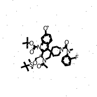 COc1ccc2c3c(n(C(=O)OC(C)(C)C)c2c1)[C@H](CO[Si](C)(C)C(C)(C)C)N(C(C)=O)CC31CCN(C(=O)N(C)c2ccccc2F)CC1